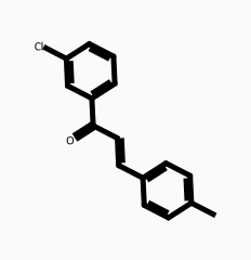 Cc1ccc(C=CC(=O)c2cccc(Cl)c2)cc1